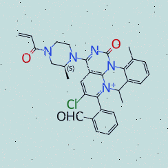 C=CC(=O)N1CCN(c2nc(=O)n3c4c2cc(Cl)c(-c2ccccc2C=O)[n+]4C(C)c2cccc(C)c2-3)[C@@H](C)C1